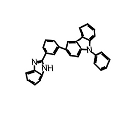 c1ccc(-n2c3ccccc3c3cc(-c4cccc(-c5nc6ccccc6[nH]5)c4)ccc32)cc1